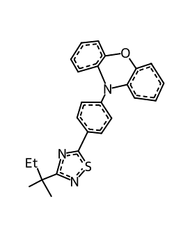 CCC(C)(C)c1nsc(-c2ccc(N3c4ccccc4Oc4ccccc43)cc2)n1